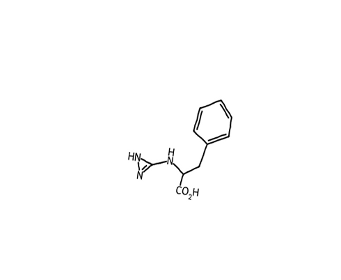 O=C(O)C(Cc1ccccc1)NC1=NN1